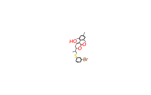 Cc1cc(C)c(C2=C(O)CC(C(C)CSc3cccc(Br)c3)OC2=O)c(C)c1